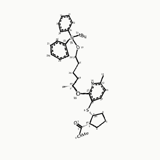 COC(=O)[C@H]1CCC[C@H]1Sc1ccc(C)nc1O[C@H](C)CCCCO[Si](c1ccccc1)(c1ccccc1)C(C)(C)C